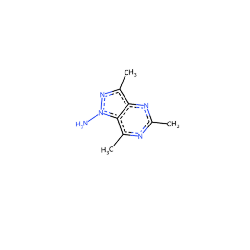 Cc1nc(C)c2c(n1)c(C)nn2N